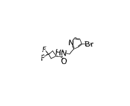 O=C(NCc1cc(Br)ccn1)C1CC(F)(F)C1